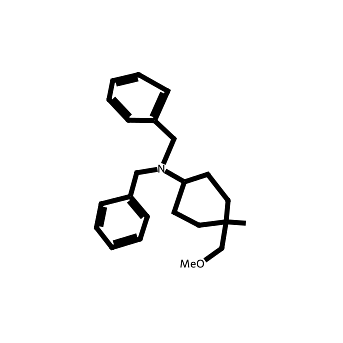 COCC1(C)CCC(N(Cc2ccccc2)Cc2ccccc2)CC1